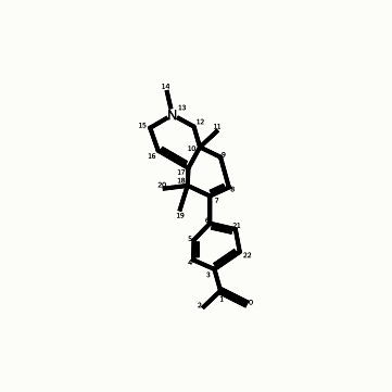 C=C(C)c1ccc(C2=CCC3(C)CN(C)CC=C3C2(C)C)cc1